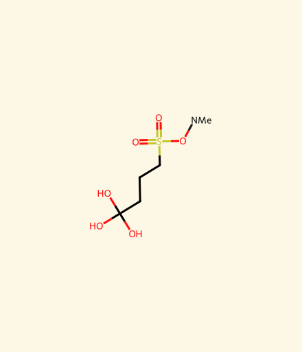 CNOS(=O)(=O)CCCC(O)(O)O